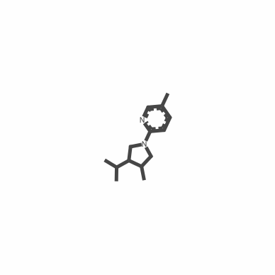 Cc1ccc(N2CC(C)C(C(C)C)C2)nc1